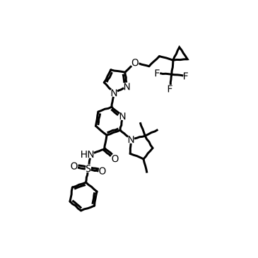 CC1CN(c2nc(-n3ccc(OCCC4(C(F)(F)F)CC4)n3)ccc2C(=O)NS(=O)(=O)c2ccccc2)C(C)(C)C1